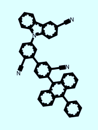 N#Cc1ccc2c(c1)c1ccccc1n2-c1ccc(C#N)c(-c2ccc(-c3c4ccccc4c(-c4ccccc4)c4ccccc34)c(C#N)c2)c1